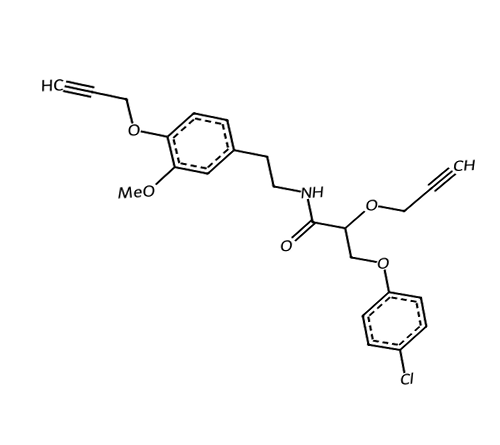 C#CCOc1ccc(CCNC(=O)C(COc2ccc(Cl)cc2)OCC#C)cc1OC